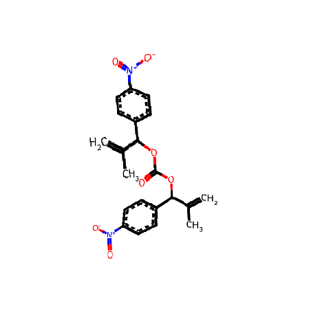 C=C(C)C(OC(=O)OC(C(=C)C)c1ccc([N+](=O)[O-])cc1)c1ccc([N+](=O)[O-])cc1